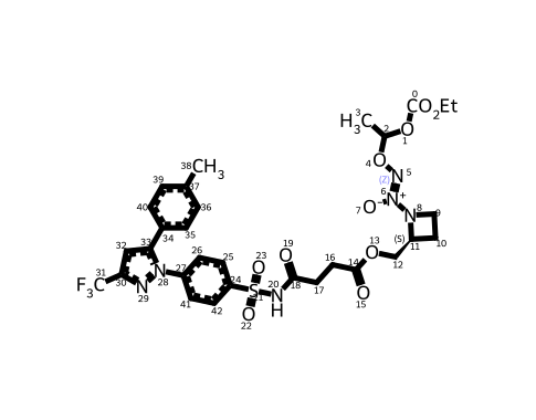 CCOC(=O)OC(C)O/N=[N+](\[O-])N1CC[C@H]1COC(=O)CCC(=O)NS(=O)(=O)c1ccc(-n2nc(C(F)(F)F)cc2-c2ccc(C)cc2)cc1